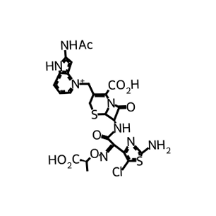 CC(=O)Nc1cc2c(ccc[n+]2CC2=C(C(=O)O)N3C(=O)[C@@H](NC(=O)/C(=N\O[C@@H](C)C(=O)O)c4nc(N)sc4Cl)C3SC2)[nH]1